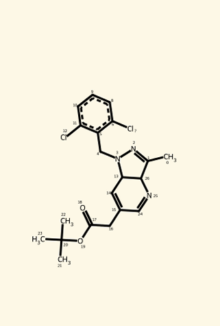 CC1=NN(Cc2c(Cl)cccc2Cl)C2C=C(CC(=O)OC(C)(C)C)C=NC12